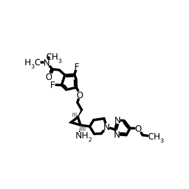 CCOc1cnc(N2CCC([C@@]3(N)C[C@H]3CCOc3cc(F)c(CC(=O)N(C)C)c(F)c3)CC2)nc1